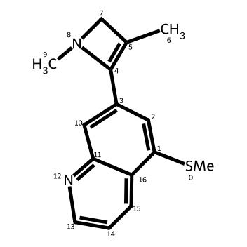 CSc1cc(C2=C(C)CN2C)cc2ncccc12